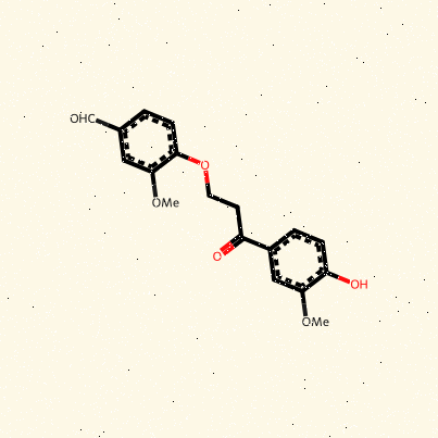 COc1cc(C(=O)CCOc2ccc(C=O)cc2OC)ccc1O